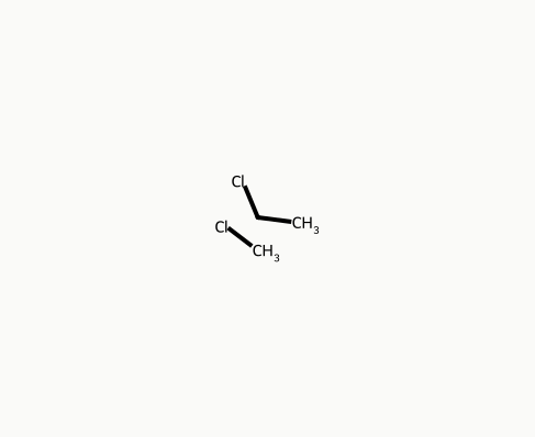 CCCl.CCl